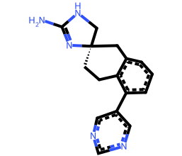 NC1=N[C@@]2(CCc3c(cccc3-c3cncnc3)C2)CN1